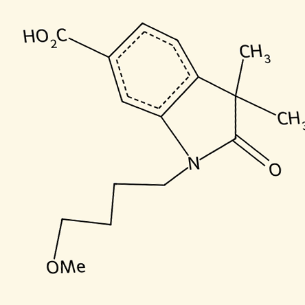 COCCCCN1C(=O)C(C)(C)c2ccc(C(=O)O)cc21